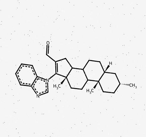 C[C@@H]1CC[C@]2(C)C3CC[C@]4(C)C(n5cnc6ccccc65)=C(C=O)CC4C3CC[C@@H]2C1